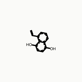 C=Cc1cccc2c(O)ccc(O)c12